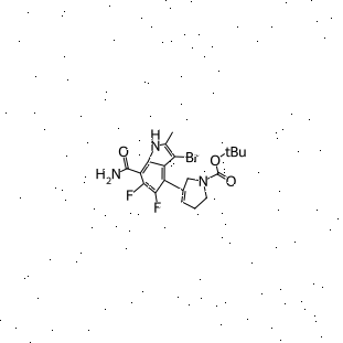 Cc1[nH]c2c(C(N)=O)c(F)c(F)c(C3=CCCN(C(=O)OC(C)(C)C)C3)c2c1Br